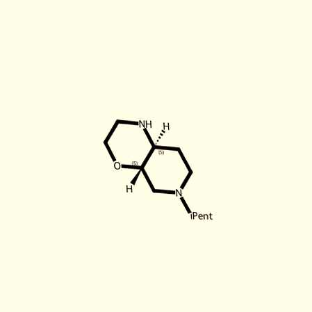 CCCC(C)N1CC[C@@H]2NCCO[C@H]2C1